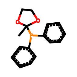 CC1(P(c2ccccc2)c2ccccc2)OCCO1